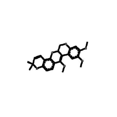 COC1=C2c3cc(OC)c(OC)cc3OCC2Oc2c1ccc1c2C=CC(C)(C)O1